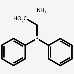 N.O=C(O)CP(c1ccccc1)c1ccccc1